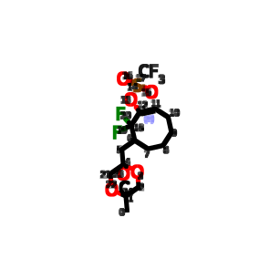 CC12COC(CC3CCCC/C=C(/OS(=O)(=O)C(F)(F)F)C3(F)F)(CO1)OC2